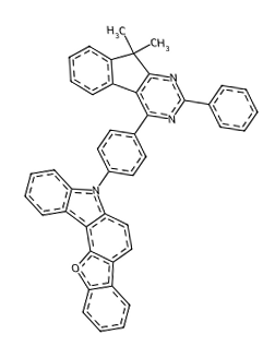 CC1(C)c2ccccc2-c2c(-c3ccc(-n4c5ccccc5c5c6oc7ccccc7c6ccc54)cc3)nc(-c3ccccc3)nc21